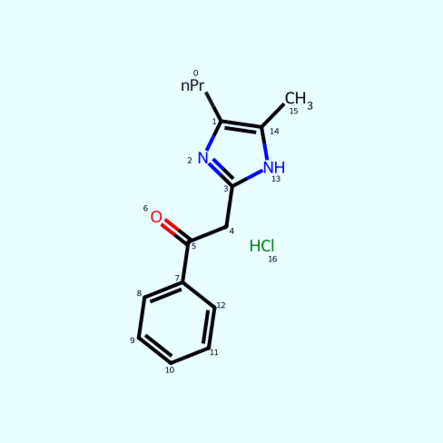 CCCc1nc(CC(=O)c2ccccc2)[nH]c1C.Cl